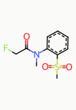 CN(C(=O)CF)c1ccccc1S(C)(=O)=O